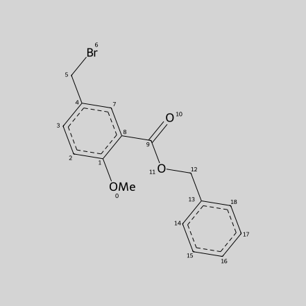 COc1ccc(CBr)cc1C(=O)OCc1ccccc1